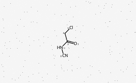 N#CNC(=O)CCl